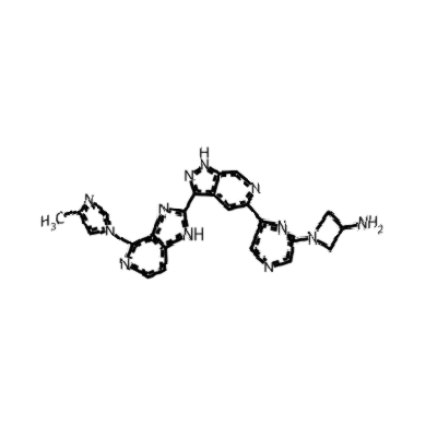 Cc1cn(-c2nccc3[nH]c(-c4n[nH]c5cnc(-c6cncc(N7CC(N)C7)n6)cc45)nc23)cn1